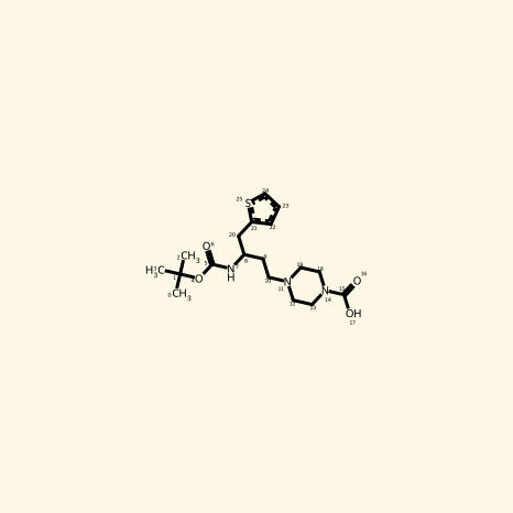 CC(C)(C)OC(=O)NC(CCN1CCN(C(=O)O)CC1)Cc1cccs1